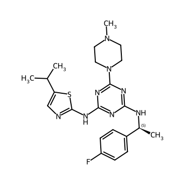 CC(C)c1cnc(Nc2nc(N[C@@H](C)c3ccc(F)cc3)nc(N3CCN(C)CC3)n2)s1